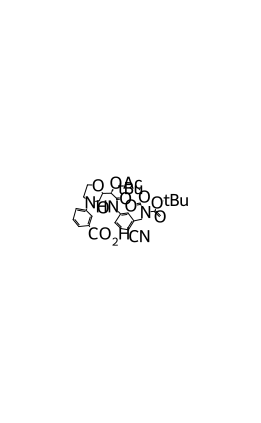 CC(=O)O[C@@H](C(=O)Nc1ccc(C#N)c(CN(C(=O)OC(C)(C)C)C(=O)OC(C)(C)C)c1)[C@H]1OCCN(c2cccc(C(=O)O)c2)C1=O